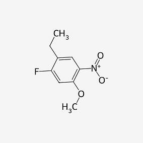 CCc1cc([N+](=O)[O-])c(OC)cc1F